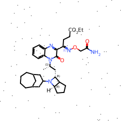 CCOC(=O)CC/C(=N\OCC(N)=O)c1nc2ccccc2n([C@@H](C)C[C@@H]2C3CCC[C@H]3N2C2CC3CCCCC(C3)C2)c1=O